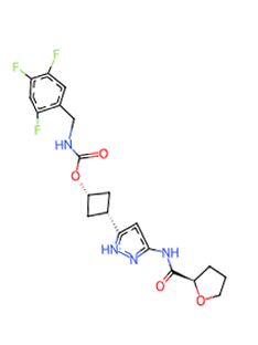 O=C(NCc1cc(F)c(F)cc1F)O[C@H]1C[C@@H](c2cc(NC(=O)[C@H]3CCCO3)n[nH]2)C1